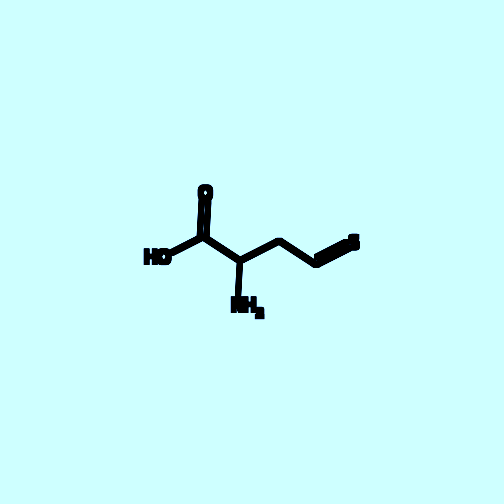 NC(CC=S)C(=O)O